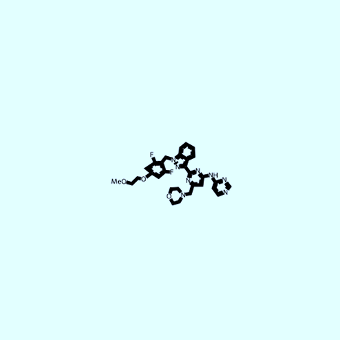 COCCOc1cc(F)c(Cn2nc(-c3nc(CN4CCOCC4)cc(Nc4ccncn4)n3)c3ccccc32)c(F)c1